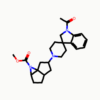 COC(=O)N1C2CCC3CC(N4CCC5(CC4)CN(C(C)=O)c4ccccc45)CC321